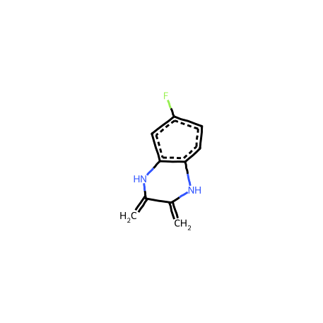 C=C1Nc2ccc(F)cc2NC1=C